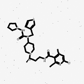 Cc1cc(Cl)nc(C)c1C(=O)NCC[C@@H](C)N1CCC(N(Cc2ccsc2)C(=O)NN2CCCC2)CC1